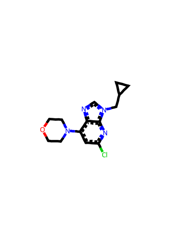 Clc1cc(N2CCOCC2)c2ncn(CC3CC3)c2n1